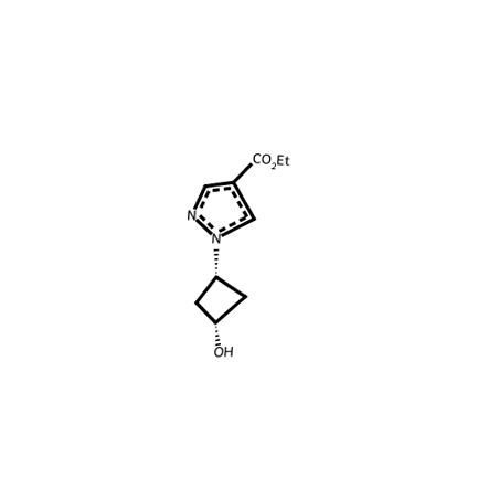 CCOC(=O)c1cnn([C@H]2C[C@@H](O)C2)c1